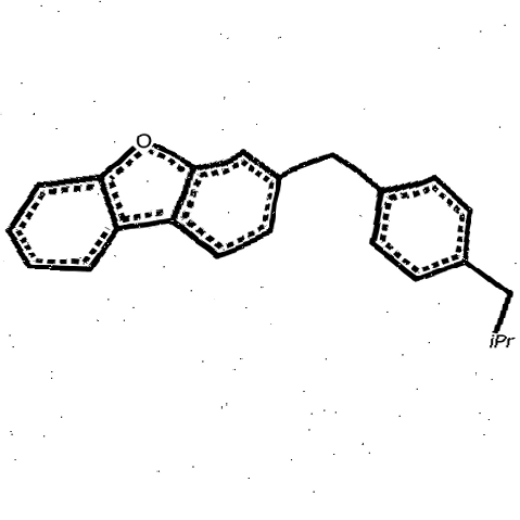 CC(C)Cc1ccc(Cc2ccc3c(c2)oc2ccccc23)cc1